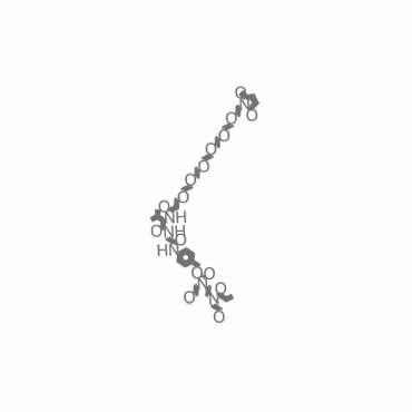 CCC(=O)N(CCOC)CCN(CCOC)C(=O)OCc1ccc(NC(=O)CNC(=O)C(NC(=O)CCOCCOCCOCCOCCOCCOCCN2C(=O)C=CC2=O)C(C)C)cc1